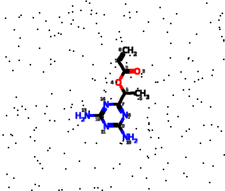 C=CC(=O)OC(C)c1nc(N)nc(N)n1